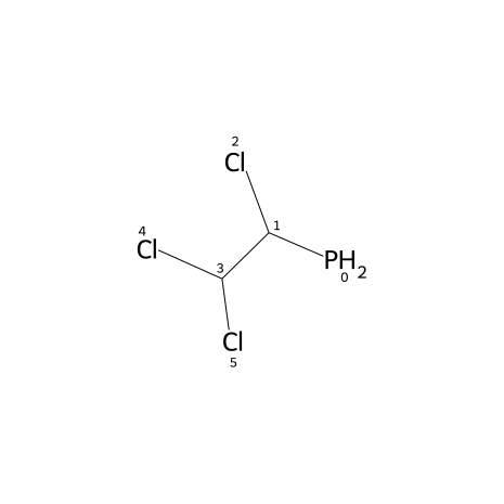 PC(Cl)C(Cl)Cl